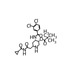 CC(C)(C)C(=O)O[C@H]1CNC(CC(=O)NC(=O)C2CC2)C[C@@H]1NC(=O)c1ccc(Cl)c(Cl)c1